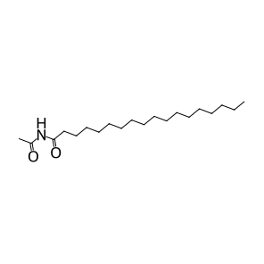 CCCCCCCCCCCCCCCCCC(=O)NC(C)=O